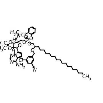 C=NC[C@]1(COP(=O)(OC[C@@H](CCCCCCCCCCCCCCCCCC)OCc2cc(Cl)cc(C#N)c2)Oc2ccccc2Cl)O[C@@H](c2ccc3c(N)ncnn23)[C@@H]2OC(C)(C)O[C@@H]21